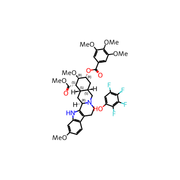 COC(=O)[C@H]1[C@H]2C[C@@H]3c4[nH]c5cc(OC)ccc5c4CCN3C[C@H]2C[C@@H](OC(=O)c2cc(OC)c(OC)c(OC)c2)[C@@H]1OC.Oc1cc(F)c(F)c(F)c1F